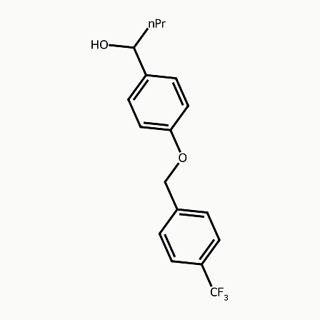 CCCC(O)c1ccc(OCc2ccc(C(F)(F)F)cc2)cc1